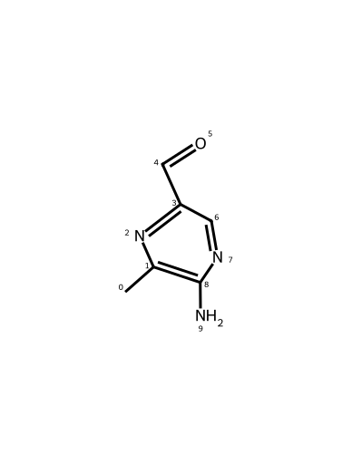 Cc1nc(C=O)cnc1N